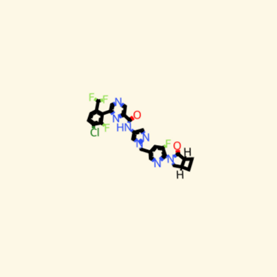 O=C(Nc1cnn(Cc2cnc(N3C[C@H]4CC[C@H]4C3=O)c(F)c2)c1)c1cncc(-c2c(C(F)F)ccc(Cl)c2F)n1